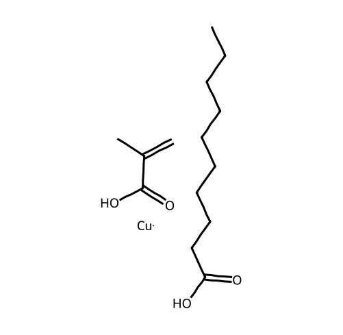 C=C(C)C(=O)O.CCCCCCCCCC(=O)O.[Cu]